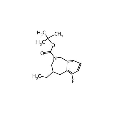 CCC1Cc2c(F)cccc2CN(C(=O)OC(C)(C)C)C1